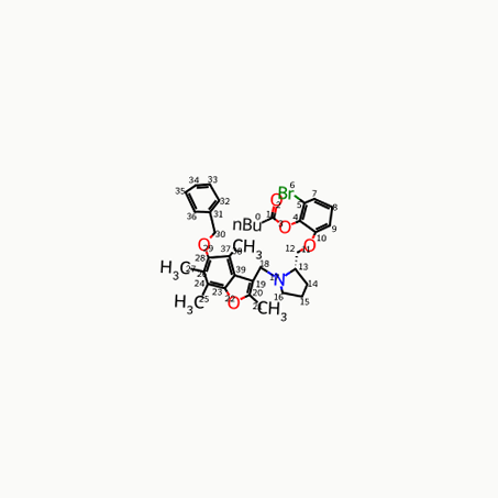 CCCCC(=O)Oc1c(Br)cccc1OC[C@@H]1CCCN1Cc1c(C)oc2c(C)c(C)c(OCc3ccccc3)c(C)c12